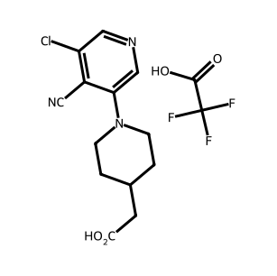 N#Cc1c(Cl)cncc1N1CCC(CC(=O)O)CC1.O=C(O)C(F)(F)F